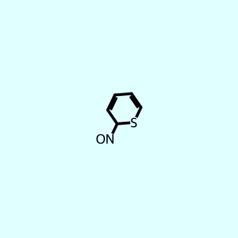 O=NC1C=CC=CS1